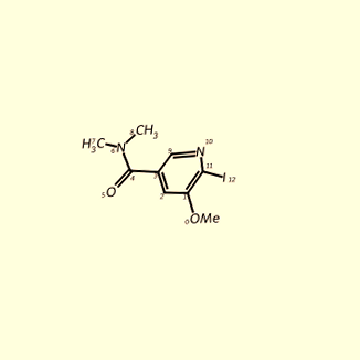 COc1cc(C(=O)N(C)C)cnc1I